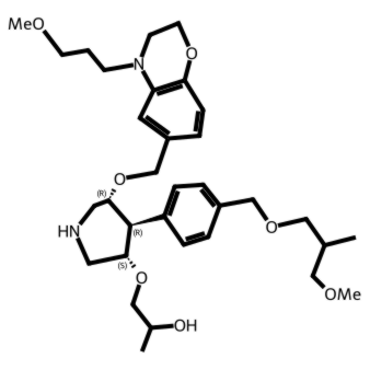 COCCCN1CCOc2ccc(CO[C@H]3CNC[C@@H](OCC(C)O)[C@@H]3c3ccc(COCC(C)COC)cc3)cc21